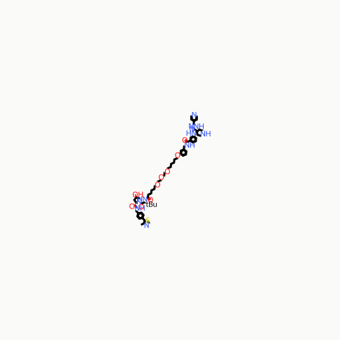 Cc1ncsc1-c1ccc(CNC(=O)[C@@H]2C[C@@H](O)CN2C(=O)[C@@H](NC(=O)CCCCCOCCOCCOCCCCCCOc2cccc(CNC(=O)c3cccc(NC4(c5nnc(-c6ccncc6)[nH]5)CCNCC4)c3)c2)C(C)(C)C)cc1